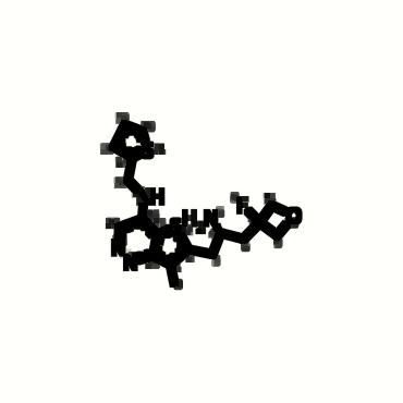 Cc1c(C[C@@H](N)CC2(F)COC2)sc2c(NCc3cccs3)cnnc12